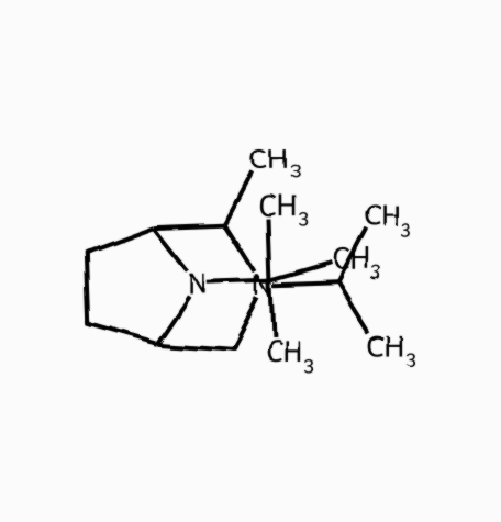 CC(C)N1CC2CCC(C1C)N2C(C)(C)C